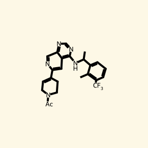 CC(=O)N1CC=C(c2cc3c(NC(C)c4cccc(C(F)(F)F)c4C)ncnc3cn2)CC1